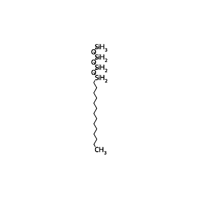 CCCCCCCCCCCCCC[SiH2]O[SiH2]O[SiH2]O[SiH3]